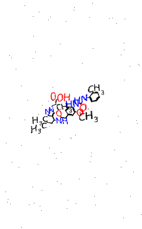 COc1cc(CC(=O)NC(CC(C)C)c2cnn(CC(C)C(=O)O)c2)ccc1NC(=O)Nc1ccccc1C